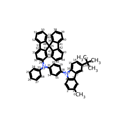 Cc1ccc2c(c1)c1cc(C(C)(C)C)ccc1n2-c1ccc(N(c2ccccc2)c2ccc3c(c2)C2(c4ccccc4-c4ccccc42)c2ccccc2-3)cc1